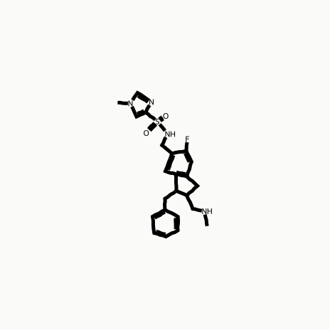 CNCC1Cc2cc(F)c(CNS(=O)(=O)c3cn(C)cn3)cc2C1Cc1ccccc1